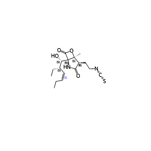 CC/C=C\[C@H](CC)[C@H](O)[C@@]12NC(=O)[C@H](CCN=C=S)[C@]1(C)OC2=O